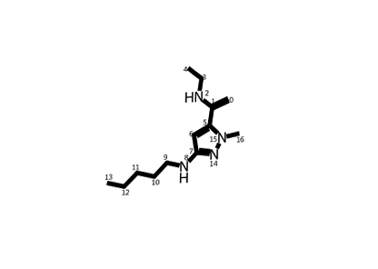 C=C(NCC)c1cc(NCCCCC)nn1C